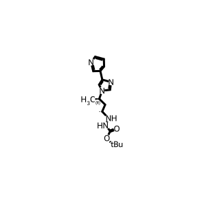 C[C@H](C[CH]NNC(=O)OC(C)(C)C)n1cnc(-c2cccnc2)c1